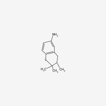 CC1Cc2cc(N)ccc2SC1(C)C